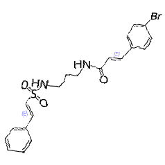 O=C(/C=C/c1ccc(Br)cc1)NCCCNS(=O)(=O)/C=C/c1ccccc1